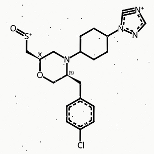 O=[S+]C[C@H]1CN(C2CCC(n3c#[n+]cn3)CC2)[C@@H](Cc2ccc(Cl)cc2)CO1